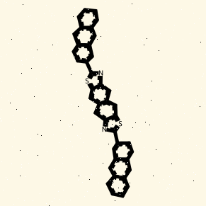 c1ccc2cc3cc(-c4nc5cc6cc7sc(-c8ccc9cc%10ccccc%10cc9c8)nc7cc6cc5s4)ccc3cc2c1